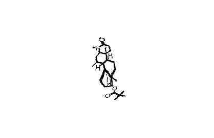 C[C@H]1CC2N(C)C(=O)CC[C@]2(C)[C@H]2CC[C@]3(C)[C@@H](OC(=O)C(C)(C)C)CC[C@H]3[C@H]12